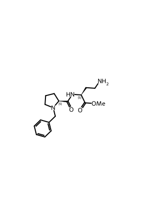 COC(=O)[C@H](CCN)NC(=O)[C@@H]1CCCN1Cc1ccccc1